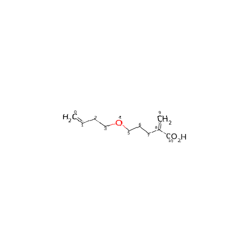 C=CCCOCCCC(=C)C(=O)O